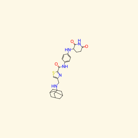 O=C1CCC(Nc2ccc(NC(=O)c3nc(CNC45CC6CC(CC(C6)C4)C5)cs3)cc2)C(=O)N1